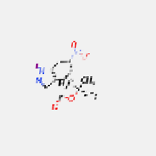 CC(C)(C)OC=O.O=[N+]([O-])c1ccc2cnn(I)c2c1